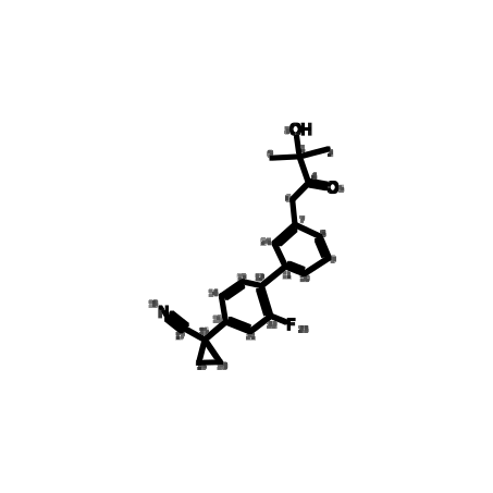 CC(C)(O)C(=O)Cc1cccc(-c2ccc(C3(C#N)CC3)cc2F)c1